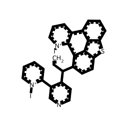 C=CC(c1ccncc1-c1cccc[n+]1I)c1ccc2sc3cccc4c5ccc[n+](I)c5c1c2c34